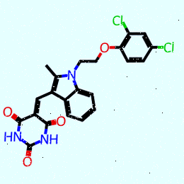 Cc1c(C=C2C(=O)NC(=O)NC2=O)c2ccccc2n1CCOc1ccc(Cl)cc1Cl